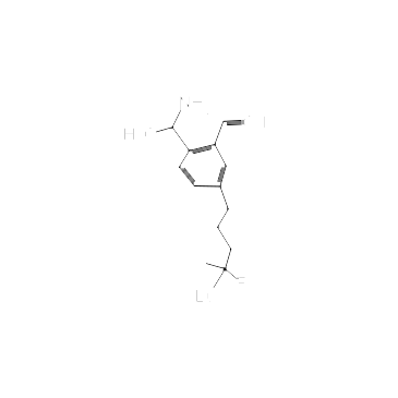 C=Cc1cc(CCCC(F)(F)CC)ccc1C(C)N